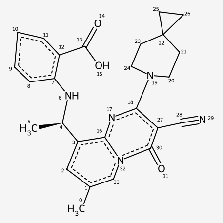 Cc1cc([C@@H](C)Nc2ccccc2C(=O)O)c2nc(N3CCC4(CC3)CC4)c(C#N)c(=O)n2c1